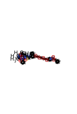 CC(C(=O)NC(C(=O)N1CCCC1c1nc(-c2ccc(OCCOCCOCCOC3CCN(C(=O)OCc4ccccc4)CC3)c3ccccc23)cs1)C1CCCCC1)N(C)C(=O)OC(C)(C)C